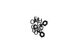 CCNC(=O)[C@H]1OC(OC(C)=O)[C@H](OC(=O)c2ccccc2)[C@H]1OC(=O)c1ccccc1